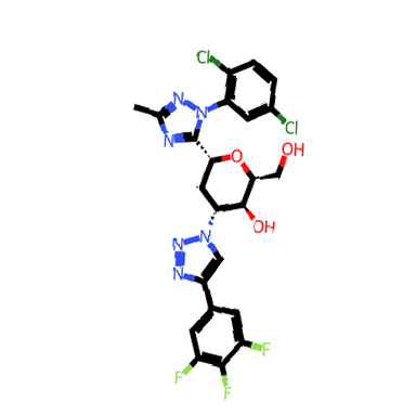 Cc1nc([C@H]2[CH][C@@H](n3cc(-c4cc(F)c(F)c(F)c4)nn3)[C@H](O)[C@H](CO)O2)n(-c2cc(Cl)ccc2Cl)n1